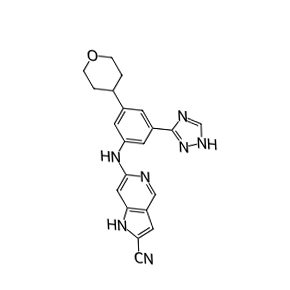 N#Cc1cc2cnc(Nc3cc(-c4nc[nH]n4)cc(C4CCOCC4)c3)cc2[nH]1